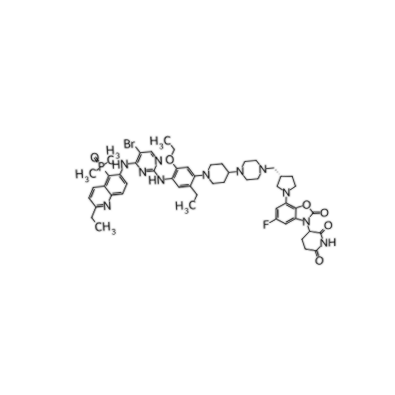 CCOc1cc(N2CCC(N3CCN(C[C@@H]4CCN(c5cc(F)cc6c5oc(=O)n6C5CCC(=O)NC5=O)C4)CC3)CC2)c(CC)cc1Nc1ncc(Br)c(Nc2ccc3nc(CC)ccc3c2P(C)(C)=O)n1